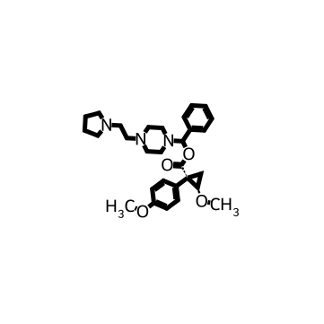 COc1ccc([C@@]2(C(=O)OC(c3ccccc3)N3CCN(CCN4CCCC4)CC3)C[C@@H]2OC)cc1